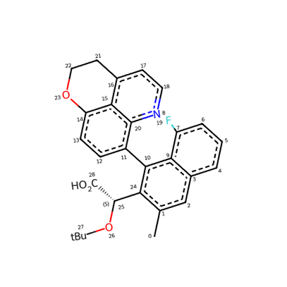 Cc1cc2cccc(F)c2c(-c2ccc3c4c(ccnc24)CCO3)c1[C@H](OC(C)(C)C)C(=O)O